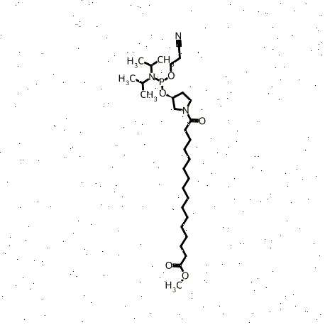 COC(=O)CCCCCCCCCCCCCCC(=O)N1CC[C@H](OP(OCCC#N)N(C(C)C)C(C)C)C1